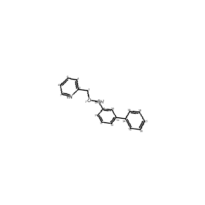 B(OCc1ccccn1)c1[c]ccc(-c2ccccc2)c1